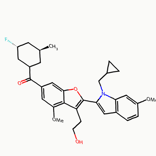 COc1ccc2cc(-c3oc4cc(C(=O)C5C[C@H](C)C[C@@H](F)C5)cc(OC)c4c3CCO)n(CC3CC3)c2c1